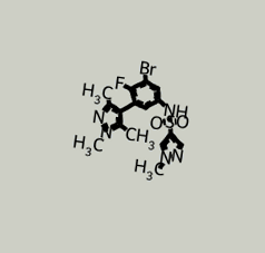 Cc1nn(C)c(C)c1-c1cc(NS(=O)(=O)c2cnn(C)c2)cc(Br)c1F